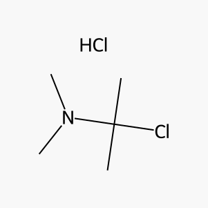 CN(C)C(C)(C)Cl.Cl